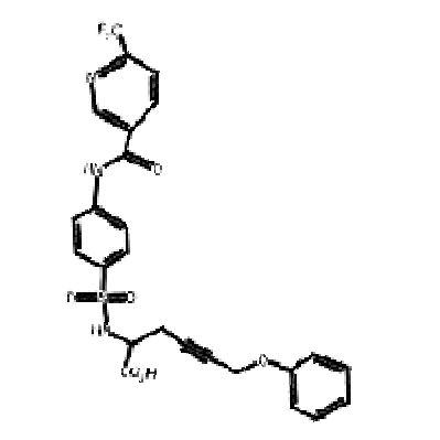 O=C(Nc1ccc(S(=O)(=O)NC(CC#CCOc2ccccc2)C(=O)O)cc1)c1ccc(C(F)(F)F)nc1